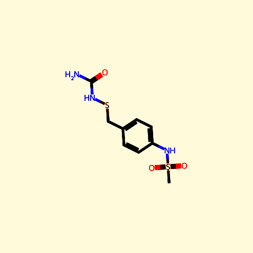 CS(=O)(=O)Nc1ccc(CSNC(N)=O)cc1